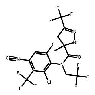 [C-]#[N+]c1cc(Cl)c(N(CC(F)(F)F)C(=O)C2(C)CC(C(F)(F)F)=NN2)c(Cl)c1C(F)(F)F